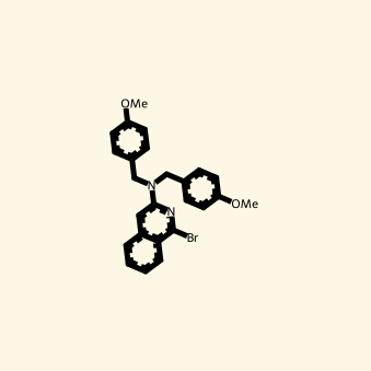 COc1ccc(CN(Cc2ccc(OC)cc2)c2cc3ccccc3c(Br)n2)cc1